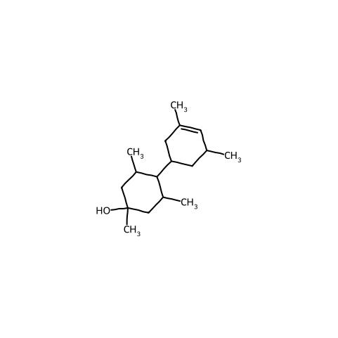 CC1=CC(C)CC(C2C(C)CC(C)(O)CC2C)C1